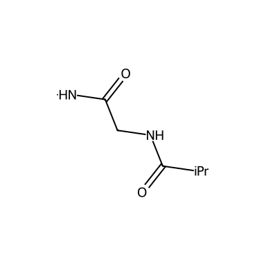 CC(C)C(=O)NCC([NH])=O